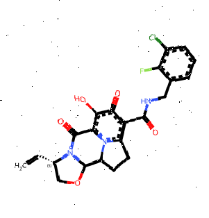 C=C[C@H]1COC2C3CCc4c(C(=O)NCc5cccc(Cl)c5F)c(=O)c(O)c(n43)C(=O)N21